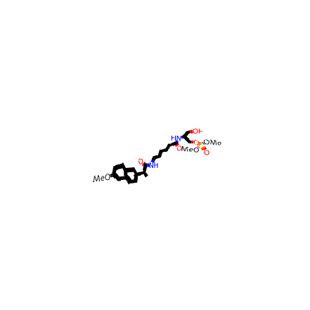 COc1ccc2cc(C(C)C(=O)NCCCCCC(=O)NC(CO)COP(=O)(OC)OC)ccc2c1